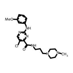 COc1cccc(Nc2ncc(Cl)c(C(=O)NCCCN3CCN(C)CC3)n2)c1